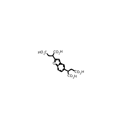 O=C(O)CC(C(=O)O)c1ccc2oc(C(CC(=O)O)C(=O)O)cc2c1